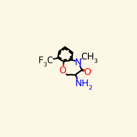 CN1C(=O)C(N)COc2c1cccc2C(F)(F)F